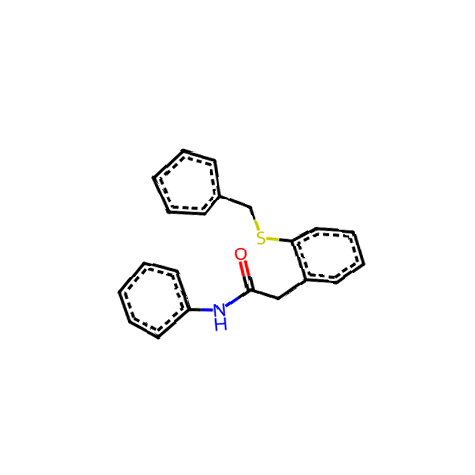 O=C(Cc1ccccc1SCc1ccccc1)Nc1ccccc1